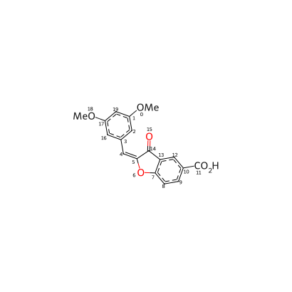 COc1cc(C=C2Oc3ccc(C(=O)O)cc3C2=O)cc(OC)c1